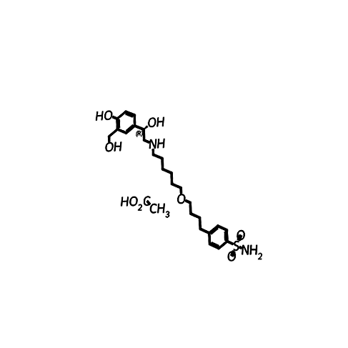 CC(=O)O.NS(=O)(=O)c1ccc(CCCCOCCCCCCNC[C@H](O)c2ccc(O)c(CO)c2)cc1